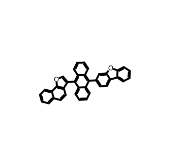 c1ccc2c(c1)ccc1c(-c3c4ccccc4c(-c4ccc5c(c4)oc4ccccc45)c4ccccc34)coc12